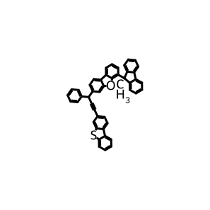 CC1(c2cccc3c2oc2cc(C(C#Cc4ccc5c(c4)sc4ccccc45)c4ccccc4)ccc23)c2ccccc2-c2ccccc21